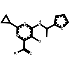 CC(Nc1nc(C2CC2)nc(C(=O)O)c1Cl)c1ccco1